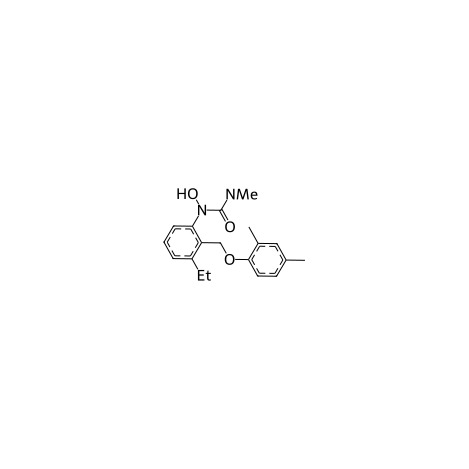 CCc1cccc(N(O)C(=O)NC)c1COc1ccc(C)cc1C